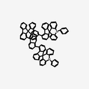 c1ccc(N2c3ccccc3C3(c4ccccc4-c4c(-c5cccc6c(-c7cccc8c7C7(c9ccccc9-c9ccccc97)c7ccccc7-8)c7cccc(-c8cccc9c8-c8ccccc8C98c9ccccc9N(c9ccccc9)c9ccccc98)c7cc56)cccc43)c3ccccc32)cc1